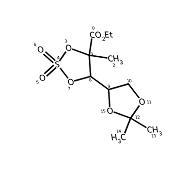 CCOC(=O)C1(C)OS(=O)(=O)OC1C1COC(C)(C)O1